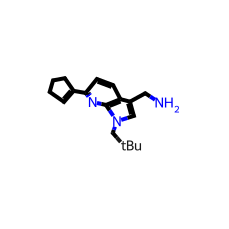 CC(C)(C)Cn1cc(CN)c2ccc(C3=CCCC3)nc21